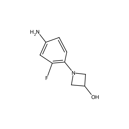 Nc1ccc(N2CC(O)C2)c(F)c1